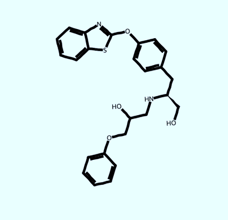 OC[C@H](Cc1ccc(Oc2nc3ccccc3s2)cc1)NCC(O)COc1ccccc1